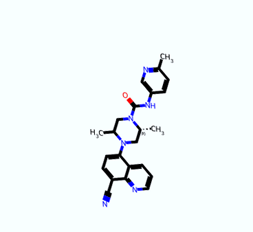 Cc1ccc(NC(=O)N2CC(C)N(c3ccc(C#N)c4ncccc34)C[C@H]2C)cn1